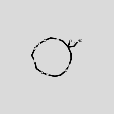 CC1(CN=O)CCCCCCCCCCCCCCCCC1